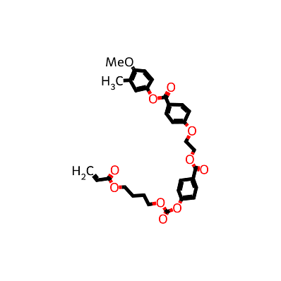 C=CC(=O)OCCCCOC(=O)Oc1ccc(C(=O)OCCOc2ccc(C(=O)Oc3ccc(OC)c(C)c3)cc2)cc1